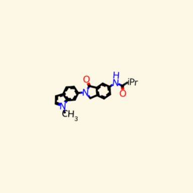 CC(C)C(=O)Nc1ccc2c(c1)C(=O)N(c1ccc3ccn(C)c3c1)C2